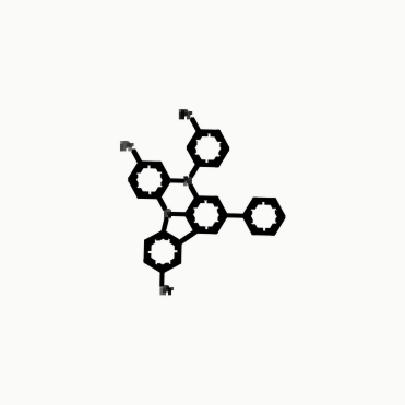 CC(C)c1cccc(N2c3cc(C(C)C)ccc3B3c4ccc(C(C)C)cc4-c4cc(-c5ccccc5)cc2c43)c1